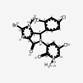 Cc1cc(Cl)ccc1C1c2c(nc(Br)n2C(C)C)C(=O)N1c1cc(Cl)cn(C)c1=O